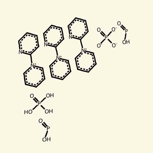 O=P(O)(O)O.O=P([O-])([O-])[O-].O=PO.O=PO.c1cc[n+](-c2ccccn2)cc1.c1cc[n+](-c2ccccn2)cc1.c1cc[n+](-c2ccccn2)cc1